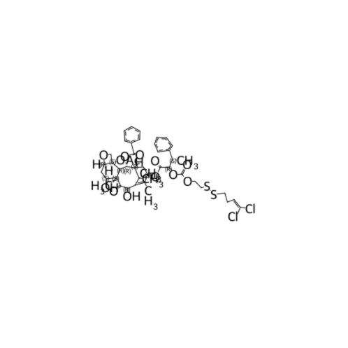 CC(=O)O[C@@]12CO[C@@H]1C[C@H](O)[C@@]1(C)C(=O)[C@H](O)C3=C(C)[C@@H](OC(=O)[C@H](OC(=O)OCCSSCCC=C(Cl)Cl)[C@@H](C)c4ccccc4)C[C@H]([C@@H](OC(=O)c4ccccc4)[C@H]21)C3(C)C